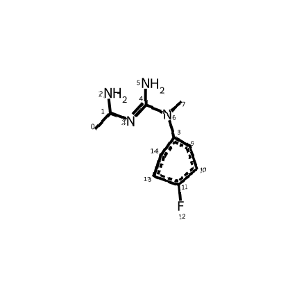 CC(N)N=C(N)N(C)c1ccc(F)cc1